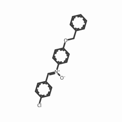 [O-][N+](=Cc1ccc(Cl)cc1)c1ccc(OCc2ccccc2)cc1